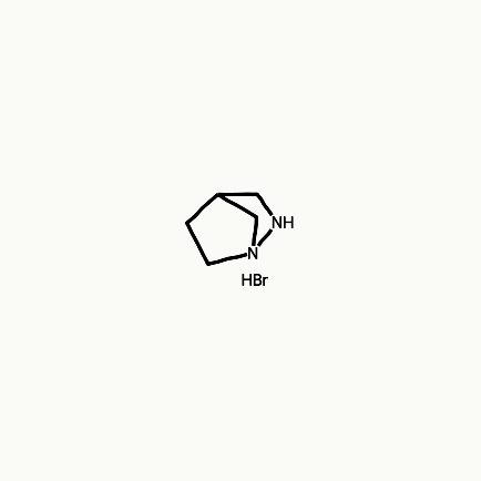 Br.C1CN2CC1CN2